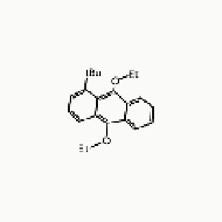 CCOc1c2ccccc2c(OCC)c2c(C(C)(C)C)cccc12